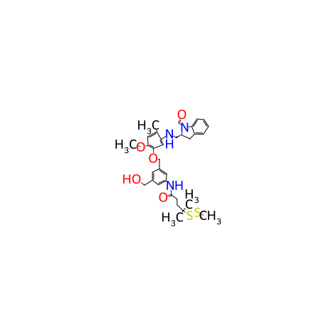 COc1cc(C)c(NC[C@@H]2Cc3ccccc3N2C=O)cc1OCc1cc(CO)cc(NC(=O)CCC(C)(C)SSC)c1